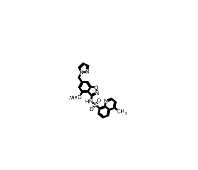 COc1cc(Cn2cccn2)cc2onc(NS(=O)(=O)c3cccc4c(C)ccnc34)c12